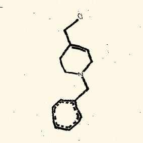 ClCC1=CCN(Cc2ccccc2)CC1